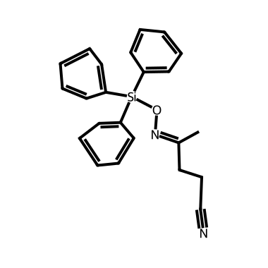 C/C(CCC#N)=N\O[Si](c1ccccc1)(c1ccccc1)c1ccccc1